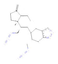 C=C1CC[C@H]2[C@H](CN=[N+]=[N-])[C@@H]([C@@]3(C)Cc4cn[nH]c4C[C@@H]3CN=[N+]=[N-])CC[C@]12C